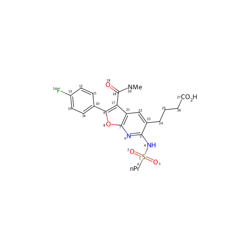 CCCS(=O)(=O)Nc1nc2oc(-c3ccc(F)cc3)c(C(=O)NC)c2cc1CCCC(=O)O